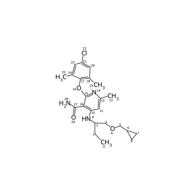 CCC(COCC1CC1)Nc1cc(C)nc(Oc2c(C)cc(Cl)cc2C)c1C(N)=O